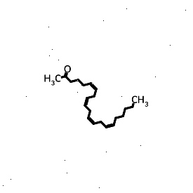 CCCCC/C=C\C/C=C\C/C=C\C/C=C\CCCC(C)=O